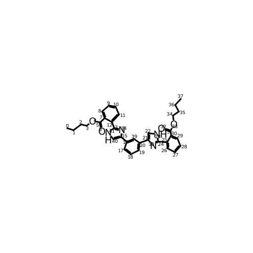 CCCCOC(=O)c1ccccc1-c1nc(-c2cccc(-c3c[nH]c(-c4ccccc4C(=O)OCCCC)n3)c2)c[nH]1